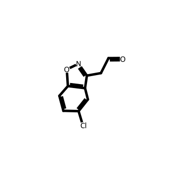 O=CCc1noc2ccc(Cl)cc12